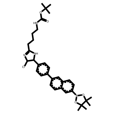 CC(C)(C)OC(=O)NCCCCC1=NC(Cl)C(c2ccc(-c3ccc4cc(B5OC(C)(C)C(C)(C)O5)ccc4c3)cc2)N1